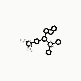 Cc1cc(C)nc(-c2ccc(-c3cc(-c4nc(-c5ccccc5)nc(-c5ccccc5)n4)cc(-c4cccc5c4ccc4ccccc45)c3)cc2)n1